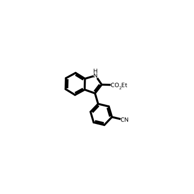 CCOC(=O)c1[nH]c2ccccc2c1-c1cccc(C#N)c1